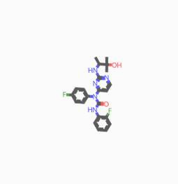 CC(Nc1nccc(N(C(=O)Nc2ccccc2F)c2ccc(F)cc2)n1)C(C)(C)O